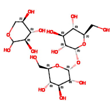 OC1OC[C@@H](O)[C@H](O)[C@H]1O.OC[C@H]1O[C@H](O[C@H]2O[C@H](CO)[C@@H](O)[C@H](O)[C@H]2O)[C@H](O)[C@@H](O)[C@@H]1O